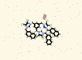 Clc1c(Cl)[n+](Cc2cc(C[n+]3cn(Cc4ccc5ccccc5c4)c(Cl)c3Cl)cc(C[n+]3cn(Cc4ccc5ccccc5c4)c(Cl)c3Cl)c2)cn1Cc1ccc2ccccc2c1.[Br-].[Br-].[Br-]